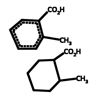 CC1CCCCC1C(=O)O.Cc1ccccc1C(=O)O